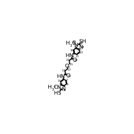 Cn1c(S)nc2ccc(NC(=O)CCOCCC(=O)Nc3ccc4nc(S)n(C)c4c3)cc21